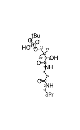 CC(C)CNC(=O)CCNC(=O)C(O)C(C)(C)COP(=O)(O)OC(C)(C)C